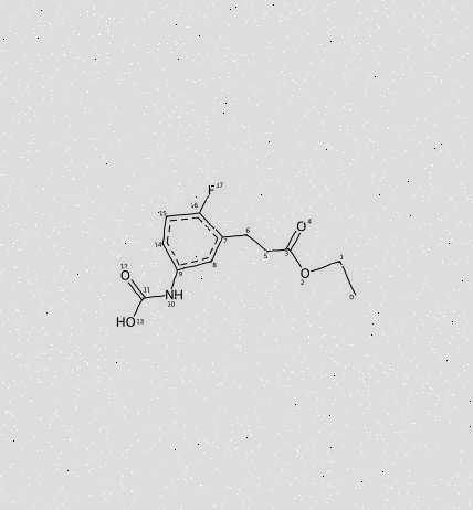 CCOC(=O)CCc1cc(NC(=O)O)ccc1F